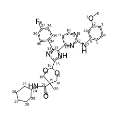 COc1cccc(Nc2nccc(-c3[nH]c(C4OCC(C)(C(=O)NC5CCCCC5)CO4)nc3-c3ccc(F)cc3)n2)c1